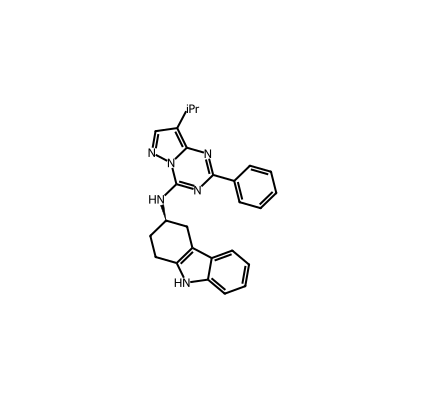 CC(C)c1cnn2c(N[C@@H]3CCc4[nH]c5ccccc5c4C3)nc(-c3ccccc3)nc12